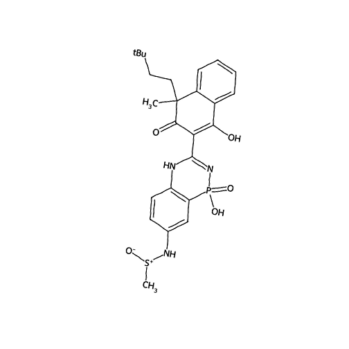 C[S+]([O-])Nc1ccc2c(c1)P(=O)(O)N=C(C1=C(O)c3ccccc3C(C)(CCC(C)(C)C)C1=O)N2